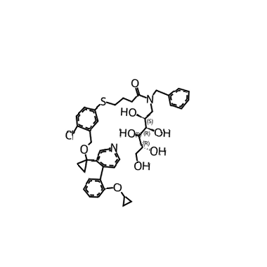 O=C(CCCSc1ccc(Cl)c(COC2(c3cnccc3-c3ccccc3OC3CC3)CC2)c1)N(Cc1ccccc1)C[C@H](O)[C@@H](O)[C@H](O)[C@H](O)CO